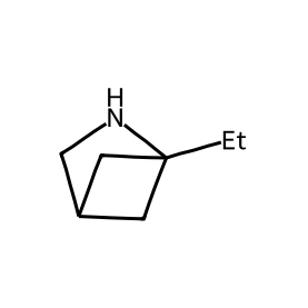 CCC12CC(CN1)C2